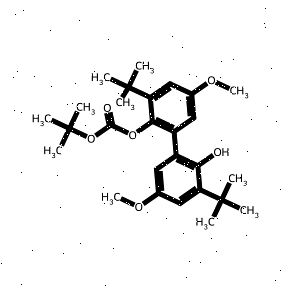 COc1cc(-c2cc(OC)cc(C(C)(C)C)c2OC(=O)OC(C)(C)C)c(O)c(C(C)(C)C)c1